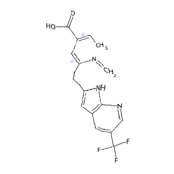 C=N/C(=C\C(=C/C)C(=O)O)Cc1cc2cc(C(F)(F)F)cnc2[nH]1